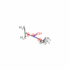 CCCCCCCC(CCCCC)CCOC(=O)CCCCC(O)CN(CCCCCO)CCCCCCC(=O)OC(CCC(CC)CCCC)CC(C)C